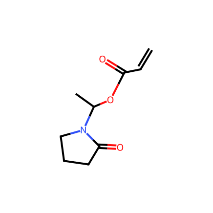 C=CC(=O)OC(C)N1CCCC1=O